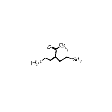 CCCC(CCN)C(C)=O